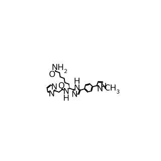 Cn1ccc(-c2ccc(-c3cnc([C@H](CCCCCC(N)=O)NC(=O)Cc4ncccn4)[nH]3)cc2)n1